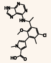 COc1c(C(C)Nc2ncnc3[nH]cnc23)cc(Cl)c(C)c1-c1cc(C(=O)O)n(C)c1